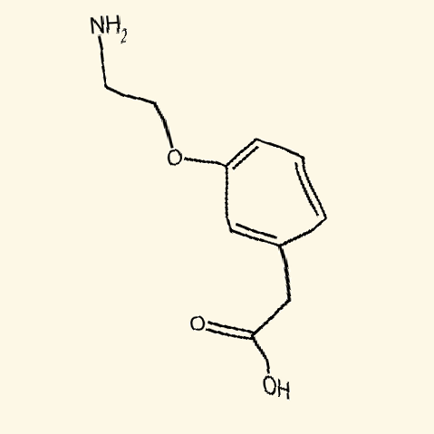 NCCOc1cccc(CC(=O)O)c1